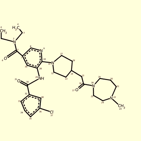 CCN(CC)C(=O)c1cnc(N2CCC(CC(=O)N3CCCN(C)CC3)CC2)c(NC(=O)c2cccc(Cl)c2)c1